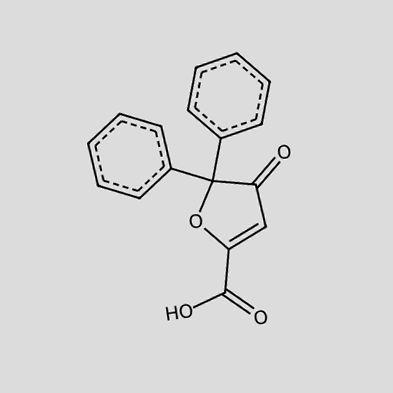 O=C(O)C1=CC(=O)C(c2ccccc2)(c2ccccc2)O1